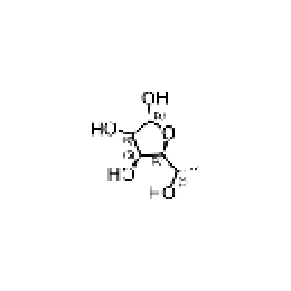 C[C@H](O)[C@@H]1O[C@H](O)[C@H](O)[C@@H]1O